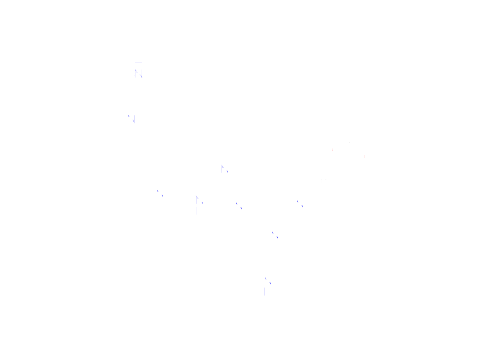 C[C@@H](OC(=O)c1ccccc1)c1cc2cnc(Nc3ccc(CN4CCNCC4)cn3)nc2c(N2CCNCC2)n1